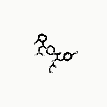 CCN(CC)CC(c1ccccc1F)N1CCN(C(=O)C(Cc2ccc(Cl)cc2)NC(=O)OC(C)(C)C)CC1